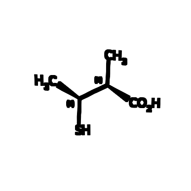 C[C@H](S)[C@@H](C)C(=O)O